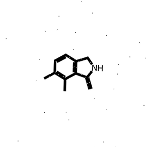 C=C1NCc2ccc(C)c(C)c21